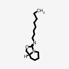 CCCCCCCC/N=C1\OC[C@H]2CCCCN12